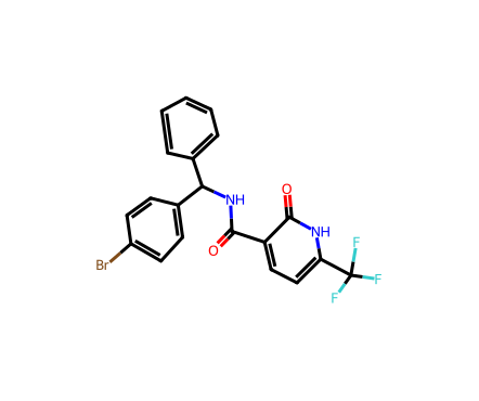 O=C(NC(c1ccccc1)c1ccc(Br)cc1)c1ccc(C(F)(F)F)[nH]c1=O